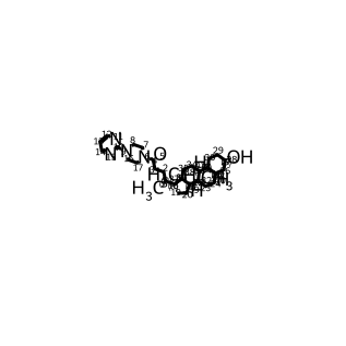 C[C@H](CCC(=O)N1CCN(c2ncccn2)CC1)[C@H]1CC[C@H]2[C@@H]3CC[C@H]4C[C@@H](O)CC[C@]4(C)[C@H]3CC[C@]12C